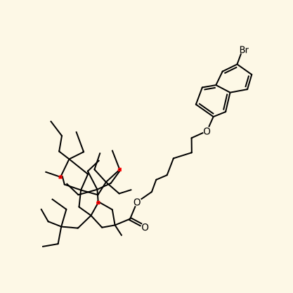 CCCC(CC)(CC)CC(CC)(CC(CC)(CC)CC)CC(CC(CC)(CC)CC)(CC(CC)(CC)CC)CC(C)(CC)C(=O)OCCCCCCOc1ccc2cc(Br)ccc2c1